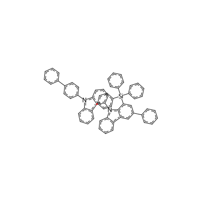 c1ccc(-c2ccc(-n3c4ccccc4c4c(-n5c6ccccc6c6cc(-c7ccccc7)cc([Si](c7ccccc7)(c7ccccc7)c7ccccc7)c65)cccc43)cc2)cc1